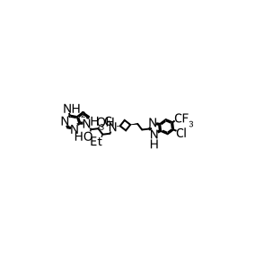 CC[C@H](CN(C)[C@H]1C[C@H](CCc2nc3cc(C(F)(F)F)c(Cl)cc3[nH]2)C1)[C@@H](O)[C@@H](O)n1ccc2c(N)ncnc21